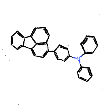 c1ccc(N(c2ccccc2)c2ccc(-c3ccc4c5c(cccc35)-c3ccccc3-4)cc2)cc1